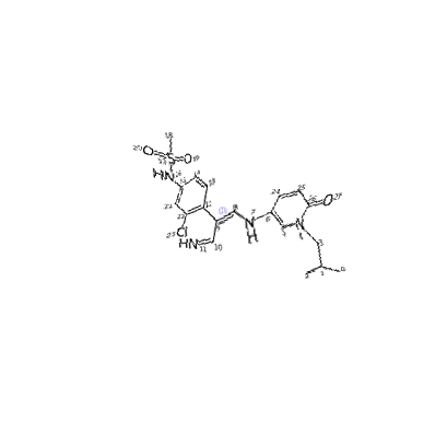 CC(C)Cn1cc(N/C=C(\C=N)c2ccc(NS(C)(=O)=O)cc2Cl)ccc1=O